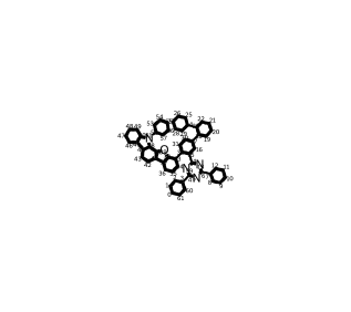 c1ccc(-c2nc(-c3ccccc3)nc(-c3cc(-c4ccccc4-c4ccccc4)ccc3-c3cccc4c3oc3c4ccc4c5ccccc5n(-c5ccccc5)c43)n2)cc1